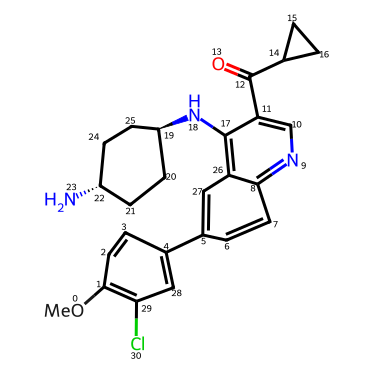 COc1ccc(-c2ccc3ncc(C(=O)C4CC4)c(N[C@H]4CC[C@H](N)CC4)c3c2)cc1Cl